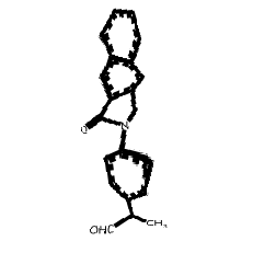 CC(C=O)c1ccc(N2Cc3cc4ccccc4cc3C2=O)cc1